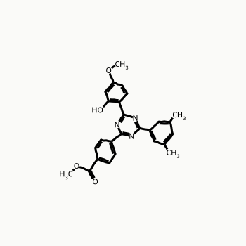 COC(=O)c1ccc(-c2nc(-c3cc(C)cc(C)c3)nc(-c3ccc(OC)cc3O)n2)cc1